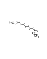 CCOC(=O)CCCCCCCC(C)OC(F)(F)F